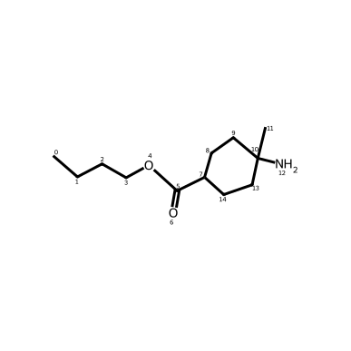 CCCCOC(=O)C1CCC(C)(N)CC1